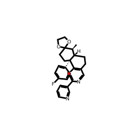 C[C@H]1[C@@H]2CCc3cnc(-c4cccnc4)nc3[C@@]2(c2ccc(F)cc2)CCC12OCCO2